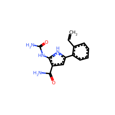 C=Cc1ccccc1-c1cc(C(N)=O)c(NC(N)=O)[nH]1